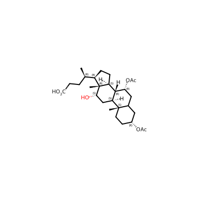 CC(=O)O[C@@H]1CC[C@@]2(C)C(C1)C[C@@H](OC(C)=O)[C@H]1[C@@H]3CC[C@H]([C@H](C)CCC(=O)O)[C@@]3(C)[C@@H](O)C[C@@H]12